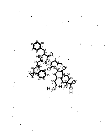 CC1C[C@@H](NC(=O)C(Cc2ccccc2)NC(=O)CNCC2(c3ccccc3)CC2)C(=O)N1[C@H](CCCCN)C(=O)N1CCC(N)(C(=O)O)CC1